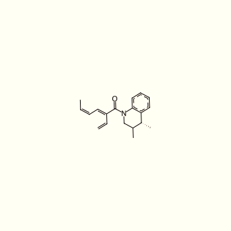 C=C/C(=C\C=C/C)C(=O)N1CC(C)[C@@H](C)c2ccccc21